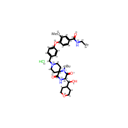 CCCCN1C(=O)[C@@H](C(O)C2CCOCC2)NC(=O)C12CCN(Cc1ccc(Oc3ccc(C(=O)NCC(C)C)cc3OC)cc1)CC2.Cl